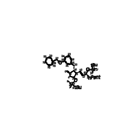 C=C1CC(O[Si](C)(C)C(C)(C)C)[C@H](/C=C/[C@H](CCCCC)O[Si](C)(C)C(C)(C)C)[C@H]1Cc1cccc(OCc2ccccc2)c1